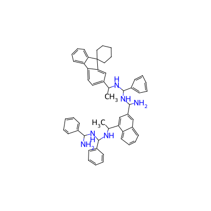 CC(NC(NC(N)c1cc(C(C)NC(NC(N)c2ccccc2)c2ccccc2)c2ccccc2c1)c1ccccc1)c1ccc2c(c1)C1(CCCCC1)c1ccccc1-2